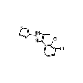 Cc1[nH]c(-c2ccsc2)nc1-c1cccc(Cl)c1Cl